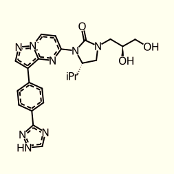 CC(C)[C@H]1CN(C[C@H](O)CO)C(=O)N1c1ccn2ncc(-c3ccc(-c4nc[nH]n4)cc3)c2n1